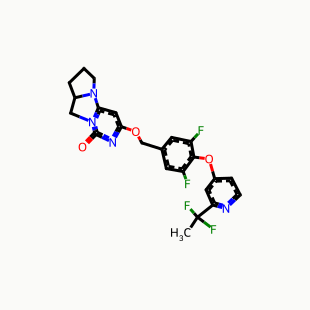 CC(F)(F)c1cc(Oc2c(F)cc(COc3cc4n(c(=O)n3)CC3CCCN43)cc2F)ccn1